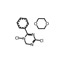 C1COCCO1.ClC1=NCN(Cl)C(c2ccccc2)=N1